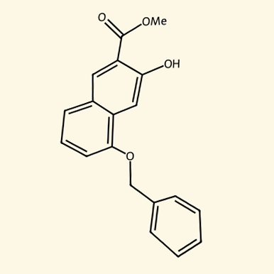 COC(=O)c1cc2cccc(OCc3ccccc3)c2cc1O